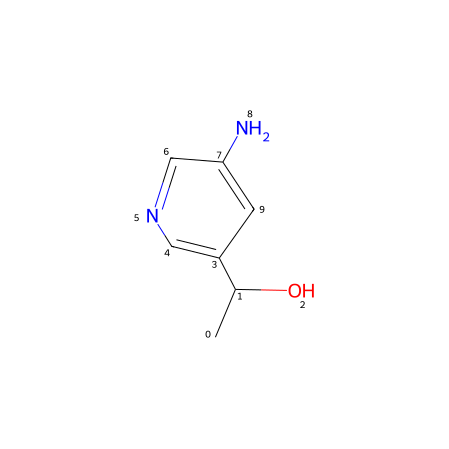 CC(O)c1cncc(N)c1